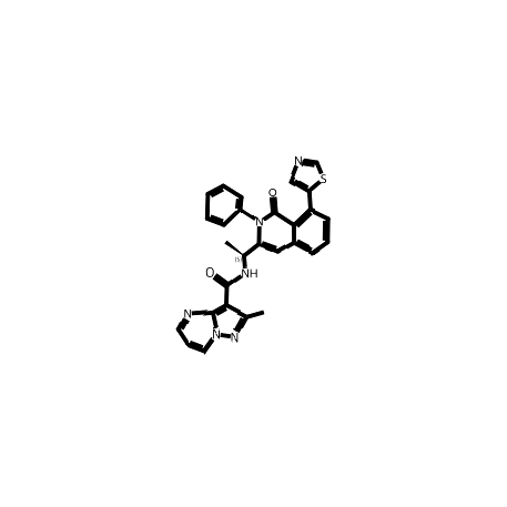 Cc1nn2cccnc2c1C(=O)N[C@@H](C)c1cc2cccc(-c3cncs3)c2c(=O)n1-c1ccccc1